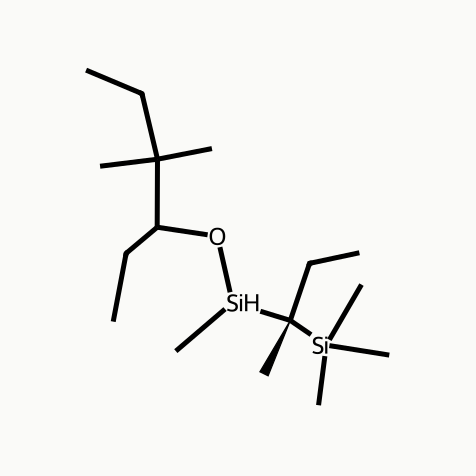 CCC(O[SiH](C)[C@](C)(CC)[Si](C)(C)C)C(C)(C)CC